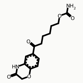 NC(=O)OCCCCCC(=O)c1ccc2c(c1)NC(=O)CO2